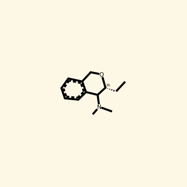 CC[C@H]1OCc2ccccc2C1N(C)C